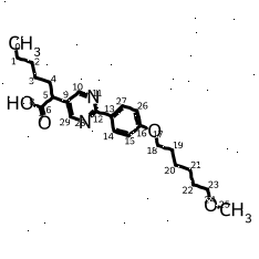 CCCCCC(C(=O)O)c1cnc(-c2ccc(OCCCCCCOC)cc2)nc1